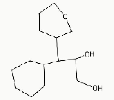 OCC(O)C(C1CCCCC1)C1CCCCC1